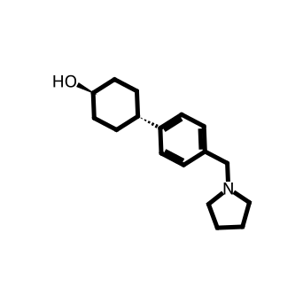 O[C@H]1CC[C@H](c2ccc(CN3CCCC3)cc2)CC1